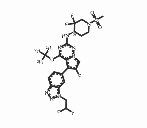 [2H]C([2H])([2H])Oc1nc(N[C@@H]2CCN(S(C)(=O)=O)CC2(F)F)nn2cc(F)c(-c3ccc4nnn(CC(F)F)c4c3)c12